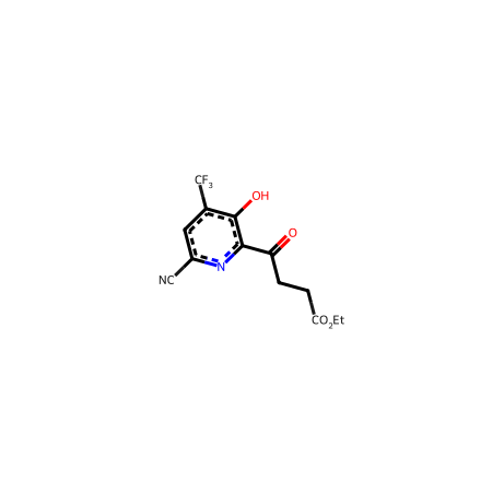 CCOC(=O)CCC(=O)c1nc(C#N)cc(C(F)(F)F)c1O